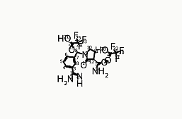 N=C(N)c1cccc(CN2CC[C@@H](C(N)=O)C2=O)c1.O=C(O)C(F)(F)F.O=C(O)C(F)(F)F